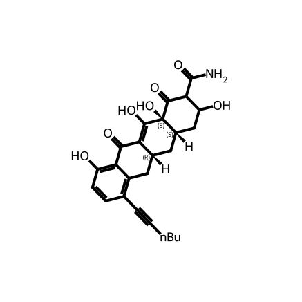 CCCCC#Cc1ccc(O)c2c1C[C@H]1C[C@H]3CC(O)C(C(N)=O)C(=O)[C@@]3(O)C(O)=C1C2=O